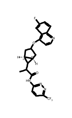 CC(C(=O)Nc1ccc(C(F)(F)F)nn1)C1[C@H]2CC(Oc3ccnc4ccc(F)cc34)C[C@@H]12